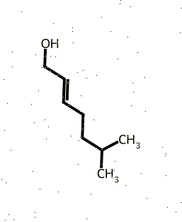 CC(C)CCC=CCO